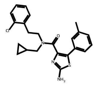 Cc1cccc(-c2sc(N)nc2C(=O)N(CCc2ccccc2Cl)CC2CC2)c1